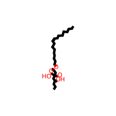 C=C(CCC)CC(CC(=C)OCCCCCCCC/C=C\CCCCCCCC)(C(=O)O)C(=O)O